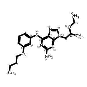 CCCCOc1cccc(Sc2nc(N)nc3c2ncn3CC(C)OCP)c1